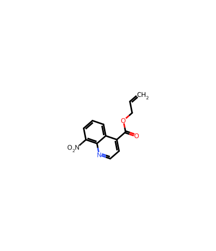 C=CCOC(=O)c1ccnc2c([N+](=O)[O-])cccc12